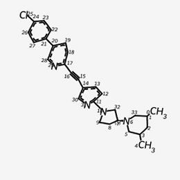 CC1CC(C)CN([C@H]2CCN(c3ccc(C#Cc4ccc(-c5ccc(Cl)cc5)cn4)cn3)C2)C1